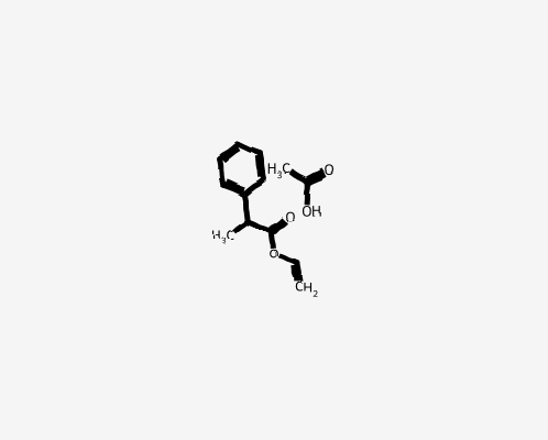 C=COC(=O)C(C)c1ccccc1.CC(=O)O